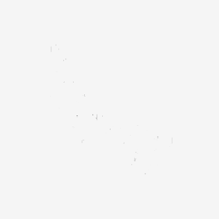 O=C(O)CC1CC=C(c2cccc(OCc3ccc(Cl)c4ccoc34)n2)CC1